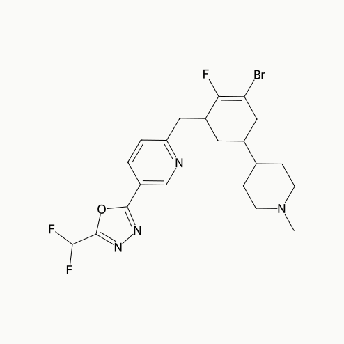 CN1CCC(C2CC(Br)=C(F)C(Cc3ccc(-c4nnc(C(F)F)o4)cn3)C2)CC1